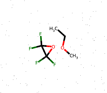 CCOC.FC1(F)OC1(F)F